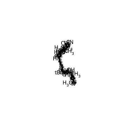 Cc1ncsc1-c1ccc([C@H](C)NC(=O)[C@H]2CN(C(=O)[C@@H](NC(=O)COCCCCCNc3ccc(NC(=O)NC4C(C)(C)C(Oc5ccc(C#N)c(Cl)c5)C4(C)C)cc3F)C(C)(C)C)C[C@H]2O)cc1